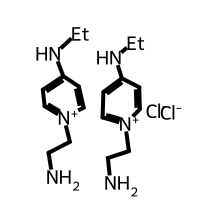 CCNc1cc[n+](CCN)cc1.CCNc1cc[n+](CCN)cc1.[Cl-].[Cl-]